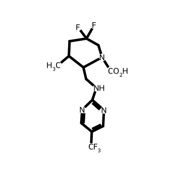 CC1CC(F)(F)CN(C(=O)O)C1CNc1ncc(C(F)(F)F)cn1